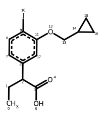 CCC(C(=O)O)c1ccc(I)c(OCC2CC2)c1